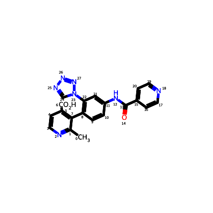 Cc1nccc(C(=O)O)c1-c1ccc(NC(=O)c2ccncc2)cc1-n1cnnn1